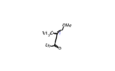 CCC(=O)/C(C)=C/OC